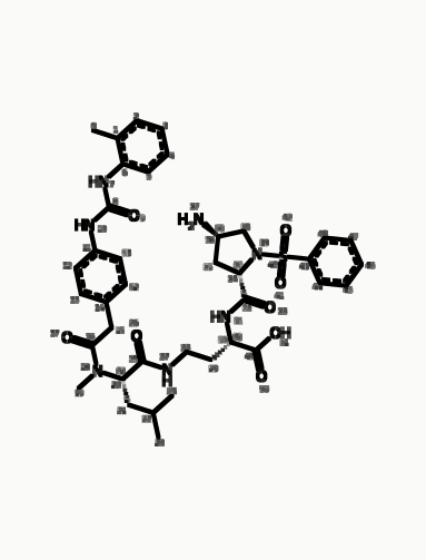 Cc1ccccc1NC(=O)Nc1ccc(CC(=O)N(C)[C@@H](CC(C)C)C(=O)NCC[C@H](NC(=O)[C@@H]2C[C@@H](N)CN2S(=O)(=O)c2ccccc2)C(=O)O)cc1